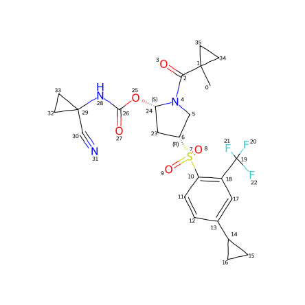 CC1(C(=O)N2C[C@H](S(=O)(=O)c3ccc(C4CC4)cc3C(F)(F)F)C[C@@H]2OC(=O)NC2(C#N)CC2)CC1